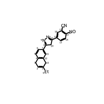 CCC1=CCc2ccc(C3=NN=C(c4ccc(N=O)c(C#N)c4)C3)cc2C1